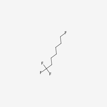 FCCCCCCC(F)(F)F